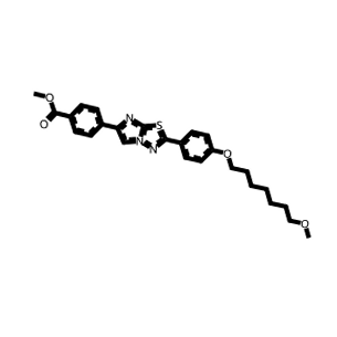 COCCCCCCCOc1ccc(-c2nn3cc(-c4ccc(C(=O)OC)cc4)nc3s2)cc1